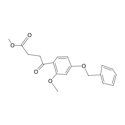 COC(=O)CCC(=O)c1ccc(OCc2ccccc2)cc1OC